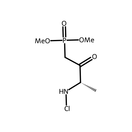 COP(=O)(CC(=O)[C@H](C)NCl)OC